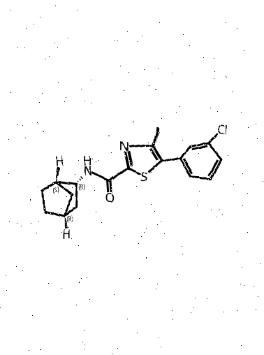 Cc1nc(C(=O)N[C@@H]2C[C@@H]3CC[C@H]2C3)sc1-c1cccc(Cl)c1